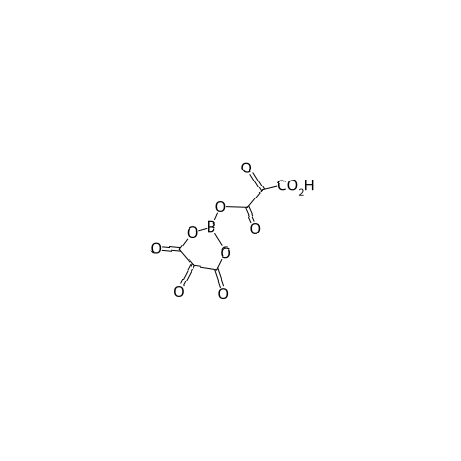 O=C(O)C(=O)C(=O)OB1OC(=O)C(=O)C(=O)O1